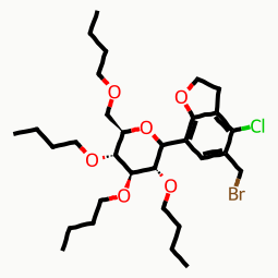 CCCCOC[C@H]1OC(c2cc(CBr)c(Cl)c3c2OCC3)[C@H](OCCCC)[C@@H](OCCCC)[C@@H]1OCCCC